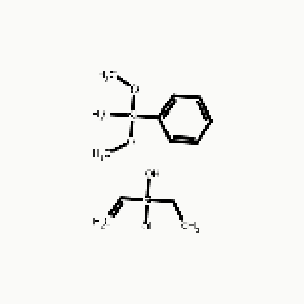 C=C[Si](O)(O)CC.CO[Si](C)(OC)c1ccccc1